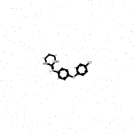 Clc1ccc(Sc2ccc(N=C3NCCCN3)cc2)cc1